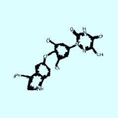 CC(C)c1c[nH]c2ccc(Oc3c(Cl)cc(-n4nc(C#N)c(=O)[nH]c4=O)cc3Cl)cc12